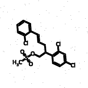 CS(=O)(=O)OCC(CC=Cc1ccccc1Cl)c1ccc(Cl)cc1Cl